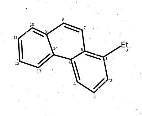 CCc1cccc2c1ccc1ccccc12